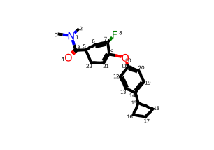 CN(C)C(=O)C1C=C(F)C(Oc2ccc(C3CCC3)cc2)=CC1